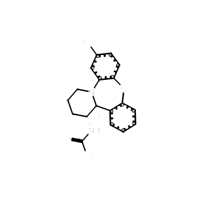 CC(=O)c1ccc2c(c1)N1CCC[C@@H](NC(=O)C(F)(F)F)[C@@H]1c1ccccc1O2